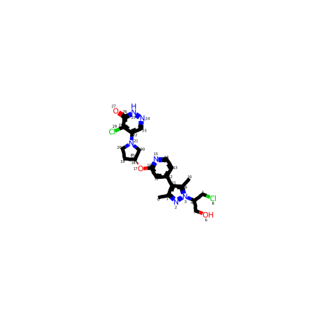 Cc1nn(C(CO)CCl)c(C)c1-c1ccnc(O[C@@H]2CCN(c3cn[nH]c(=O)c3Cl)C2)c1